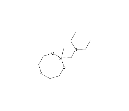 CCN(CC)C[Si]1(C)OCCSCCO1